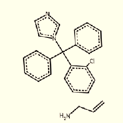 C=CCN.Clc1ccccc1C(c1ccccc1)(c1ccccc1)n1ccnc1